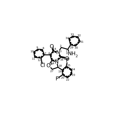 NC(Cn1c(=O)c(-c2ccccc2Cl)c2n(c1=O)C(c1c(F)cccc1F)CO2)c1ccccc1